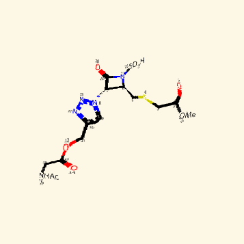 COC(=O)CSC[C@H]1[C@H](n2cc(COC(=O)CNC(C)=O)nn2)C(=O)N1S(=O)(=O)O